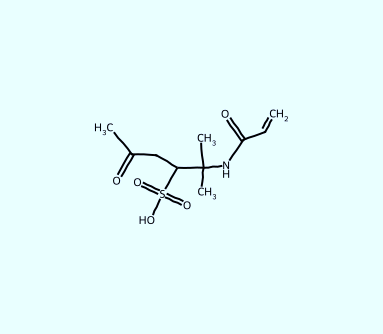 C=CC(=O)NC(C)(C)C(CC(C)=O)S(=O)(=O)O